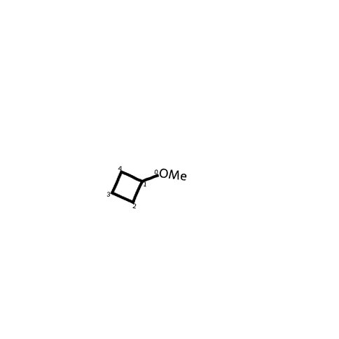 [CH2]OC1CCC1